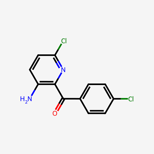 Nc1ccc(Cl)nc1C(=O)c1ccc(Cl)cc1